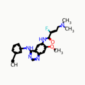 C#Cc1cccc(Nc2ncnc3cc(OC)c(NC(=O)C(F)=CCN(C)C)cc23)c1